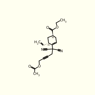 C=C[C@@H]1C[C@@H](C(=O)OCC)CC=C1C(C#N)(C#N)CC#CCOC(C)=O